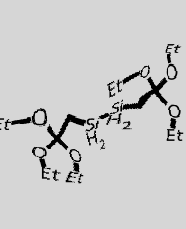 CCOC(C[SiH2][SiH2]CC(OCC)(OCC)OCC)(OCC)OCC